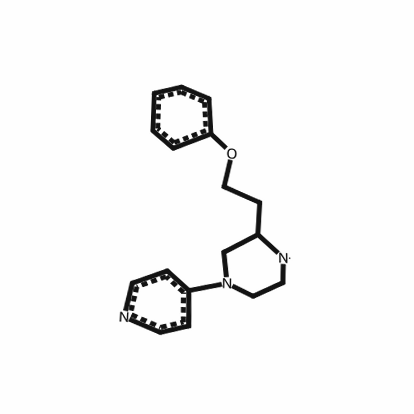 c1ccc(OCCC2CN(c3ccncc3)CC[N]2)cc1